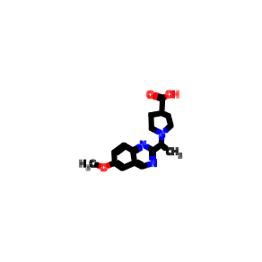 COc1ccc2nc(C(C)N3CCC(C(=O)O)CC3)ncc2c1